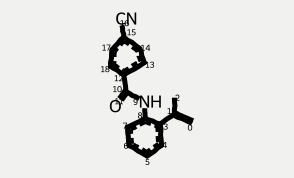 C=C(C)c1ccccc1NC(=O)c1ccc(C#N)cc1